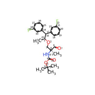 C[C@H](OC[C@@](C)(C=O)NC(=O)OC(C)(C)C)C(c1cccc(F)c1)c1cccc(F)c1